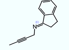 CC#CC/N=C1\CCc2ccccc21